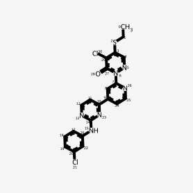 CCSc1cnn(-c2cc(-c3ccnc(Nc4cccc(Cl)c4)n3)ccn2)c(=O)c1Cl